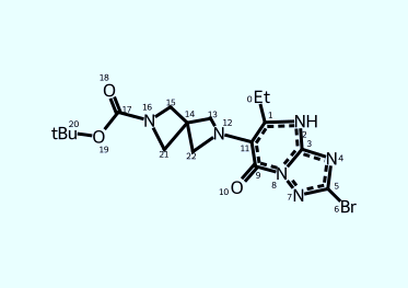 CCc1[nH]c2nc(Br)nn2c(=O)c1N1CC2(CN(C(=O)OC(C)(C)C)C2)C1